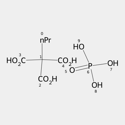 CCCC(C(=O)O)(C(=O)O)C(=O)O.O=P(O)(O)O